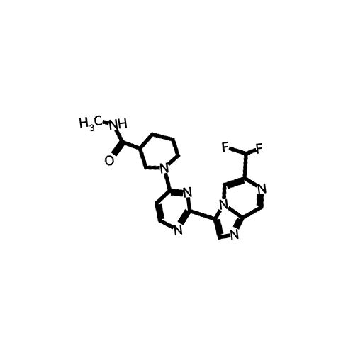 CNC(=O)C1CCCN(c2ccnc(-c3cnc4cnc(C(F)F)cn34)n2)C1